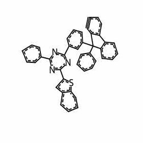 c1ccc2c(c#1)C(c1ccccc1)(c1cccc(-c3nc(-c4ccccc4)nc(-c4cc5ccccc5s4)n3)c1)c1ccccc1-2